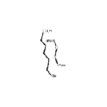 CC(C)(C)CCCCCC(=O)O.CCCCCOOCCCCC